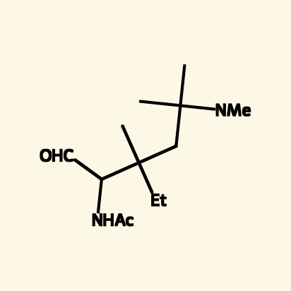 CCC(C)(CC(C)(C)NC)C(C=O)NC(C)=O